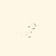 CCCCn1c2c(cc(C(=O)N[C@H](C(=O)O)[C@H](C)CC)c1=O)CCCC2